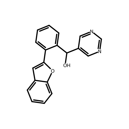 OC(c1cncnc1)c1ccccc1-c1cc2ccccc2o1